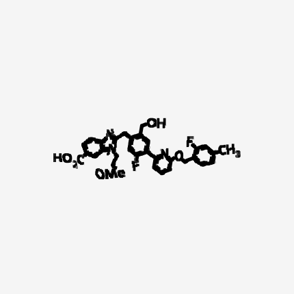 COCCn1c(Cc2cc(F)c(-c3cccc(OCc4ccc(C)cc4F)n3)cc2CO)nc2ccc(C(=O)O)cc21